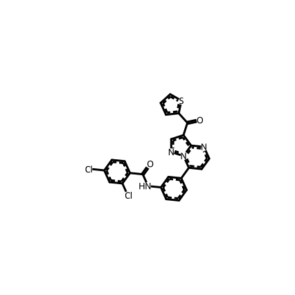 O=C(Nc1cccc(-c2ccnc3c(C(=O)c4cccs4)cnn23)c1)c1ccc(Cl)cc1Cl